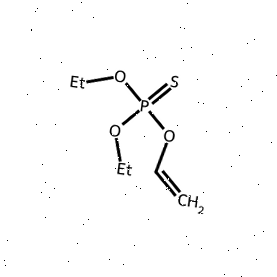 C=COP(=S)(OCC)OCC